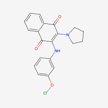 O=C1C(Nc2cccc(OCl)c2)=C(N2CCCC2)C(=O)c2ccccc21